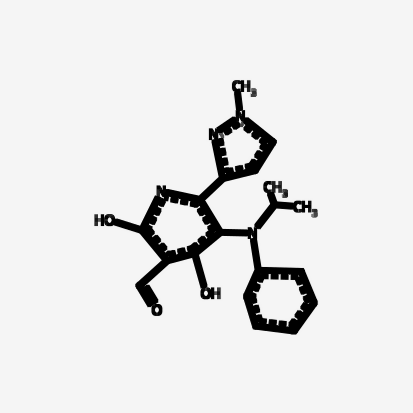 CC(C)N(c1ccccc1)c1c(-c2ccn(C)n2)nc(O)c(C=O)c1O